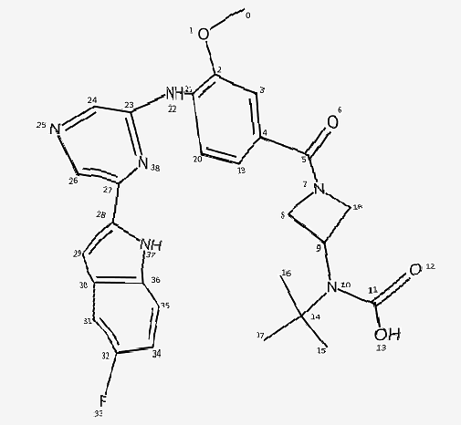 COc1cc(C(=O)N2CC(N(C(=O)O)C(C)(C)C)C2)ccc1Nc1cncc(-c2cc3cc(F)ccc3[nH]2)n1